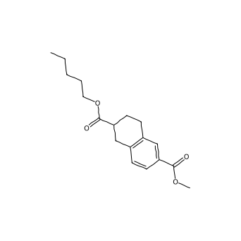 CCCCCOC(=O)C1CCc2cc(C(=O)OC)ccc2C1